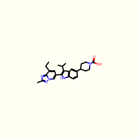 CCc1cc(-c2[nH]c3ccc(C4CCN(C(=O)O)CC4)cc3c2C(C)C)cn2nc(C)nc12